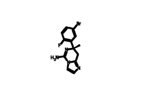 C[C@@]1(c2cc(Br)ccc2F)Cc2nccn2C(N)=N1